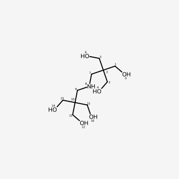 OCC(CO)(CO)CNCC(CO)(CO)CO